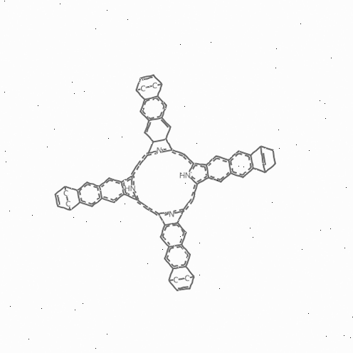 C1=CC2CCC1c1cc3c(cc12)=CC1c2cc4[nH]c(cc5nc(cc6[nH]c(cc(n2)C1C=3)c1cc2cc3c(cc2cc61)C1C=CC3CC1)-c1cc2cc3c(cc2cc1-5)C1C=CC3CC1)c1cc2cc3c(cc2cc41)C1C=CC3CC1